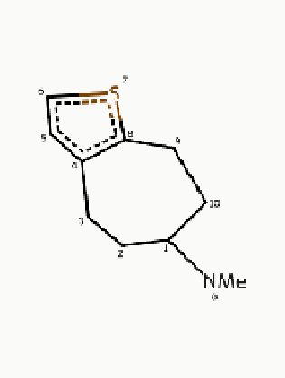 CNC1CCc2ccsc2CC1